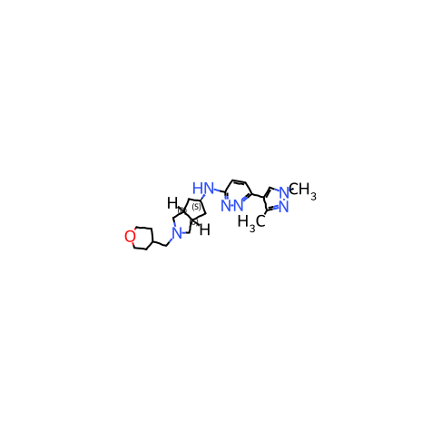 Cc1nn(C)cc1-c1ccc(N[C@H]2C[C@@H]3CN(CC4CCOCC4)C[C@@H]3C2)nn1